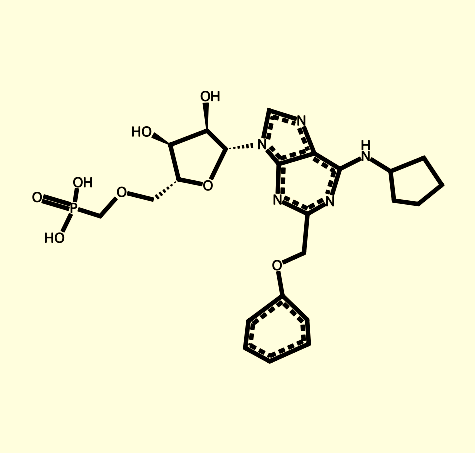 O=P(O)(O)COC[C@H]1O[C@@H](n2cnc3c(NC4CCCC4)nc(COc4ccccc4)nc32)[C@H](O)[C@@H]1O